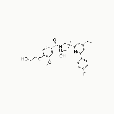 CCc1cc(-c2ccc(F)cc2)nc(C(C)(CCO)CNC(=O)c2ccc(OCCO)c(OC)c2)c1